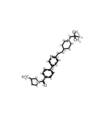 CC1CCN(C(=O)c2ccc(-c3ccc(CCC4CCN(CC(C)(C)F)CC4)nc3)cc2)C1